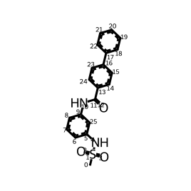 CS(=O)(=O)Nc1cccc(NC(=O)c2ccc(-c3ccccc3)cc2)c1